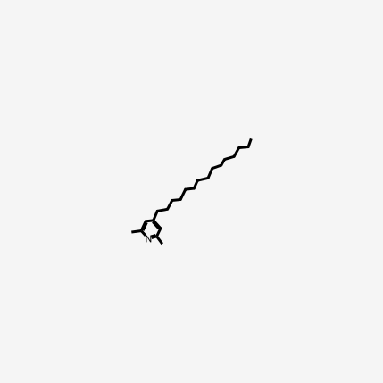 CCCCCCCCCCCCCCCc1cc(C)nc(C)c1